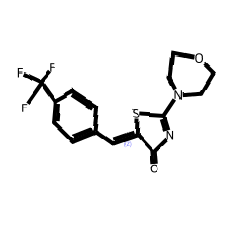 O=C1N=C(N2CCOCC2)S/C1=C\c1ccc(C(F)(F)F)cc1